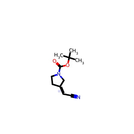 CC(C)(C)OC(=O)N1CC/C(=C/C#N)C1